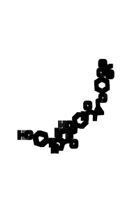 CC1(C(=O)N2CCC(O)(Cn3cnc4c(cnn4-c4ccc(O)cc4)c3=O)CC2)CC1COC1CCC(OS(C)(=O)=O)CC1